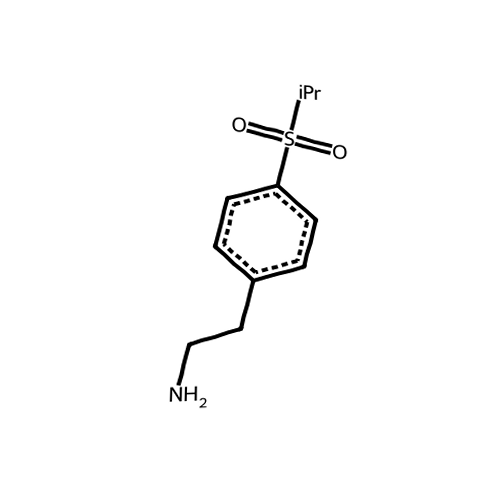 CC(C)S(=O)(=O)c1ccc(CCN)cc1